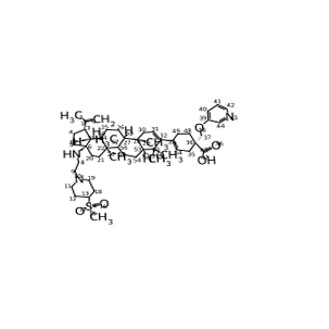 C=C(C)[C@@H]1CC[C@@]2(NCCN3CCC(S(C)(=O)=O)CC3)CC[C@]3(C)[C@H](CC[C@@H]4[C@]5(C)CC=C(C6=CC[C@](COc7cccnc7)(C(=O)O)CC6)C(C)(C)[C@@H]5CC[C@]43C)[C@@H]12